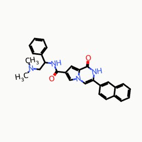 CN(C)CC(NC(=O)c1cc2c(=O)[nH]c(-c3ccc4ccccc4c3)cn2c1)c1ccccc1